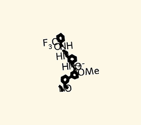 COc1ccc(-c2cccc(C(=O)N(C)C)c2)cc1[S+]([O-])Nc1cccc(NCCNC(=O)c2ccccc2C(F)(F)F)c1